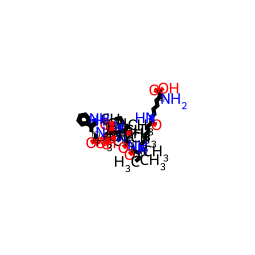 CC[C@H](C)[C@]([C@@H](CC=O)OC)(N(C)[C@H](C(=O)NC(=O)[C@H](C(C)C)N(C)CCCCCC(=O)NCCCC[C@H](N)C(=O)O)C(C)C)N1CCC[C@H]1[C@H](OC)[C@@H](C)C(=O)N[C@@H](Cc1c[nH]c2ccccc12)C(=O)O